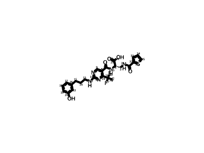 O=C(NC[C@H](NC(=O)c1cnc(NCCCc2cccc(O)c2)nc1C(F)(F)F)C(=O)O)c1cccs1